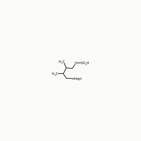 CCCCCCCCC(C)C(C)COS(=O)(=O)O